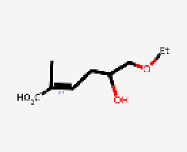 CCOCC(O)C/C=C(\C)C(=O)O